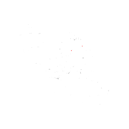 O=C(O[C@@H]1Cc2c(O)cc(O)cc2O[C@@H]1C1=CC(=O)[C@]2(O)Oc3c(O)c(O)cc([C@H]4Oc5cc(O)cc(O)c5C[C@H]4OC(=O)c4cc(O)c(O)c(O)c4)c3[C@H]1C2(O)O)c1cc(O)c(O)c(O)c1